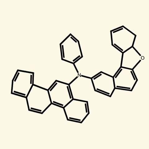 C1=CCC2Oc3ccc4ccc(N(c5ccccc5)c5cc6c7ccccc7ccc6c6ccccc56)cc4c3C2=C1